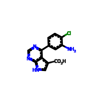 Nc1cc(-c2ncnc3[nH]cc(C(=O)O)c23)ccc1Cl